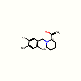 C=C(O)[C@@H]1CCCCN1Cc1cc(C(F)(F)F)c(C(C)(C)C)cc1OC